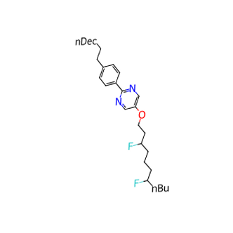 CCCCCCCCCCCCc1ccc(-c2ncc(OCCC(F)CCCC(F)CCCC)cn2)cc1